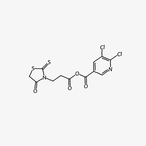 O=C(CCN1C(=O)CSC1=S)OC(=O)c1cnc(Cl)c(Cl)c1